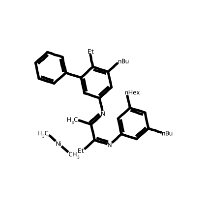 CCCCCCc1cc(CCCC)cc(N=C(CC)C(C)=Nc2cc(CCCC)c(CC)c(-c3ccccc3)c2)c1.[CH3][Ni][CH3]